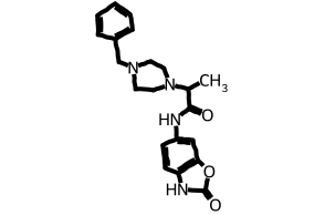 CC(C(=O)Nc1ccc2[nH]c(=O)oc2c1)N1CCN(Cc2ccccc2)CC1